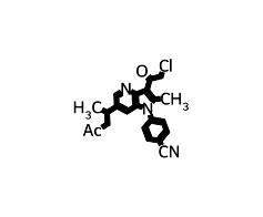 CC(=O)CC(C)c1cnc2c(C(=O)CCl)c(C)n(-c3ccc(C#N)cc3)c2c1